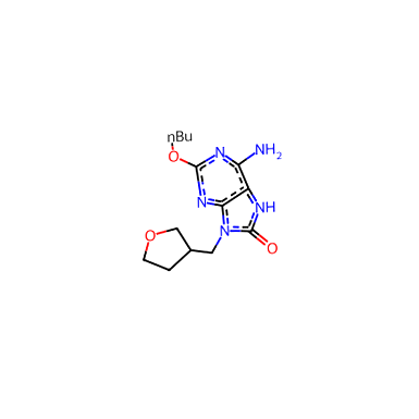 CCCCOc1nc(N)c2[nH]c(=O)n(CC3CCOC3)c2n1